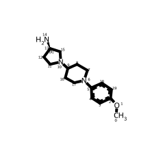 COc1ccc(N2CCC(N3CC[C@@H](N)C3)CC2)cc1